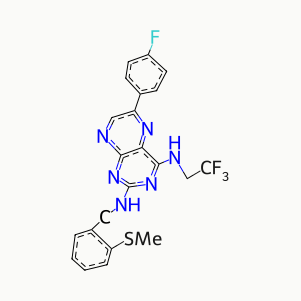 CSc1ccccc1CNc1nc(NCC(F)(F)F)c2nc(-c3ccc(F)cc3)cnc2n1